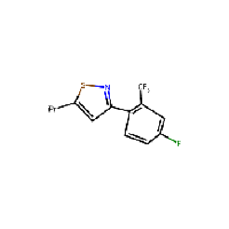 CC(C)c1cc(-c2ccc(F)cc2C(F)(F)F)ns1